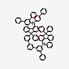 c1ccc(-c2ccc(N(c3ccc(-c4ccccc4)cc3-c3ccccc3)c3cccc4c3-c3ccccc3C4(c3ccccc3)c3cccc(-c4cccc(-c5cc(-c6ccccc6)cc(N(c6ccccc6)c6cccc7c6-c6ccccc6C7(c6ccccc6)c6ccccc6)c5)c4)c3)cc2)cc1